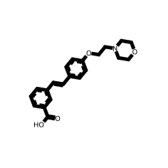 O=C(O)c1cccc(/C=C/c2ccc(OCCN3CCOCC3)cc2)c1